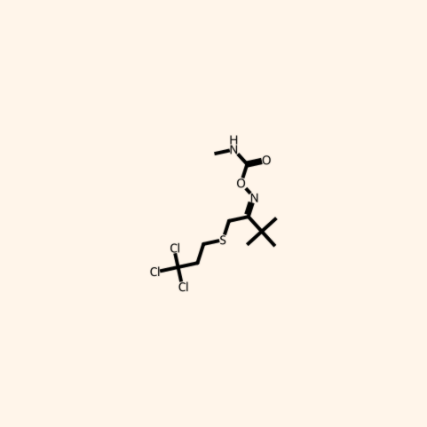 CNC(=O)ON=C(CSCCC(Cl)(Cl)Cl)C(C)(C)C